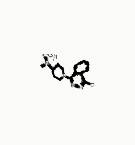 CN(C(=O)O)C1CCN(c2nnc(Cl)c3ccccc23)CC1